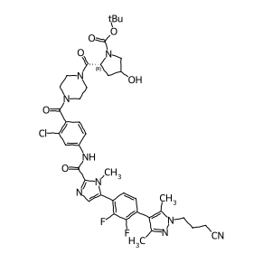 Cc1nn(CCCC#N)c(C)c1-c1ccc(-c2cnc(C(=O)Nc3ccc(C(=O)N4CCN(C(=O)[C@H]5CC(O)CN5C(=O)OC(C)(C)C)CC4)c(Cl)c3)n2C)c(F)c1F